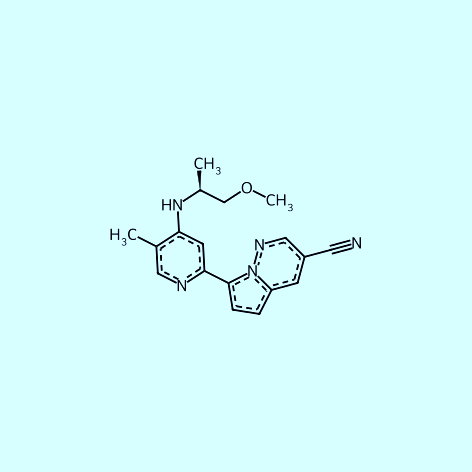 COC[C@H](C)Nc1cc(-c2ccc3cc(C#N)cnn23)ncc1C